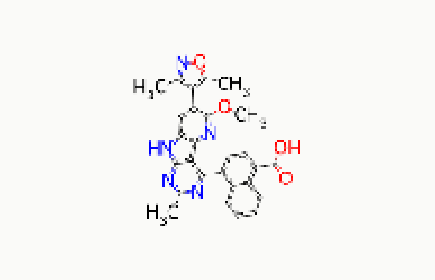 COc1nc2c(cc1-c1c(C)noc1C)[nH]c1nc(C)nc(-c3ccc(C(=O)O)c4ccccc34)c12